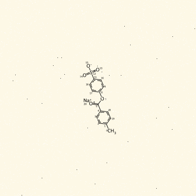 Cc1ccc(C(=O)Oc2ccc(S(=O)(=O)[O-])cc2)cc1.[Na+]